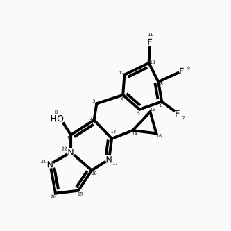 Oc1c(Cc2cc(F)c(F)c(F)c2)c(C2CC2)nc2ccnn12